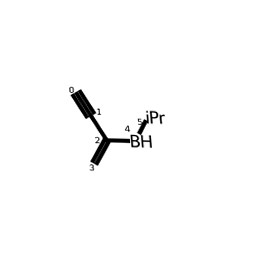 C#CC(=C)BC(C)C